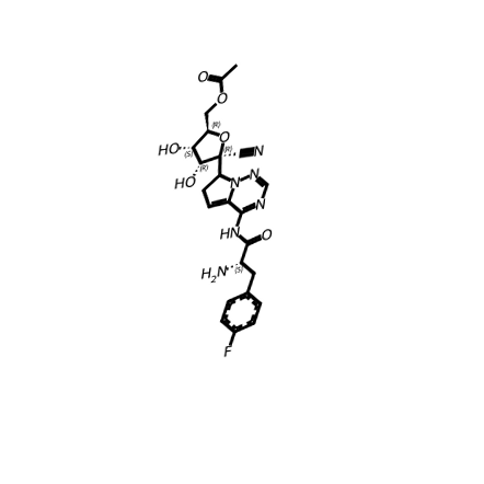 CC(=O)OC[C@H]1O[C@@](C#N)(C2CC=C3C(NC(=O)[C@@H](N)Cc4ccc(F)cc4)=NC=NN32)[C@H](O)[C@@H]1O